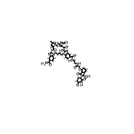 CCn1nc(C)cc1C(=O)Nc1nc2cc(C(N)=O)ccc2n1C/C=C/Cn1c(NC(=O)c2cc(C)nn2CC)nc2cc(C(=O)NCCNC(=O)COc3cccc4c3C(=O)N(C3CCC(=O)NC3=O)C4O)ccc21